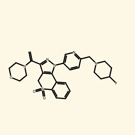 C=C(c1nn(-c2ccc(CN3CCC(F)CC3)nc2)c2c1CS(=O)(=O)c1ccccc1-2)N1CCOCC1